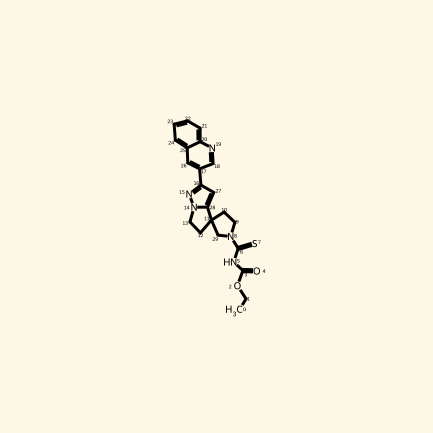 CCOC(=O)NC(=S)N1CCC2(CCn3nc(-c4cnc5ccccc5c4)cc32)C1